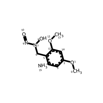 COc1ccc(CN(O)N=O)c(OC)c1.N